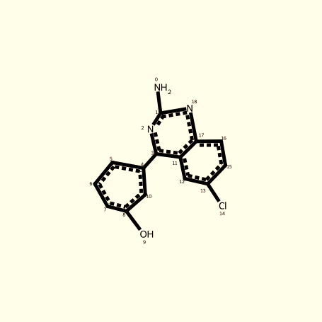 Nc1nc(-c2cccc(O)c2)c2cc(Cl)ccc2n1